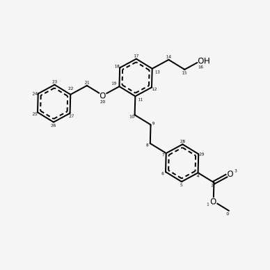 COC(=O)c1ccc(CCCc2cc(CCO)ccc2OCc2ccccc2)cc1